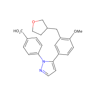 COc1ccc(-c2ccnn2-c2ccc(C(=O)O)cc2)cc1CC1CCOC1